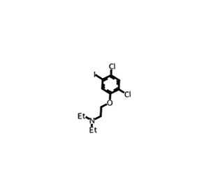 CCN(CC)CCOc1cc(I)c(Cl)cc1Cl